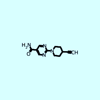 C#CC1CCN(c2ncc(C(N)=O)cn2)CC1